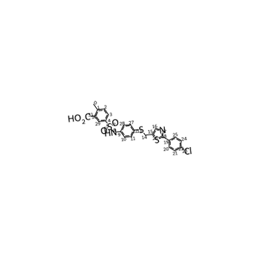 Cc1ccc(S(=O)(=O)Nc2ccc(SCc3cnc(-c4ccc(Cl)cc4)s3)cc2)cc1C(=O)O